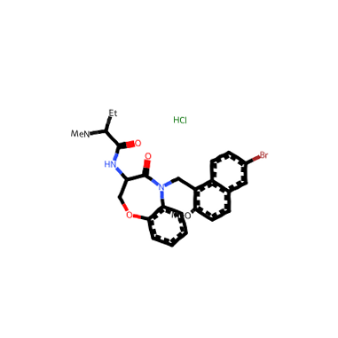 CCC(NC)C(=O)NC1COc2ccccc2N(Cc2c(OC)ccc3cc(Br)ccc23)C1=O.Cl